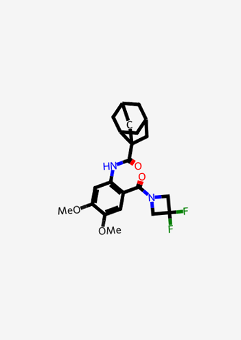 COc1cc(NC(=O)C23CC4CC(CC2C4)C3)c(C(=O)N2CC(F)(F)C2)cc1OC